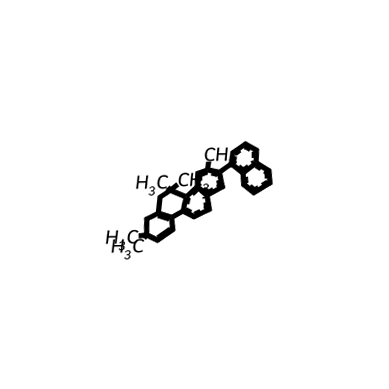 Cc1cc2c3c(ccc2cc1-c1cccc2ccccc12)C1=C(CC(C)(C)C=C1)CC3(C)C